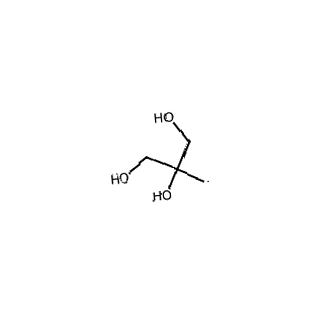 [CH2]C(O)(CO)CO